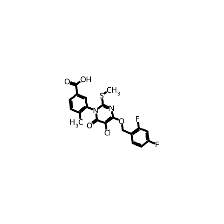 CSc1nc(OCc2ccc(F)cc2F)c(Cl)c(=O)n1-c1cc(C(=O)O)ccc1C